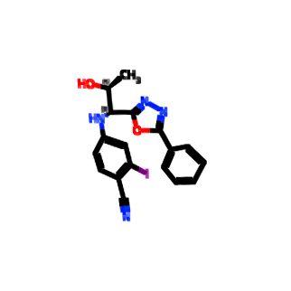 C[C@H](O)[C@@H](Nc1ccc(C#N)c(I)c1)c1nnc(-c2ccccc2)o1